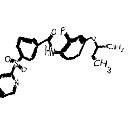 CCC(C)Oc1ccc(NC(=O)c2cccc(S(=O)(=O)c3ccccn3)c2)c(F)c1